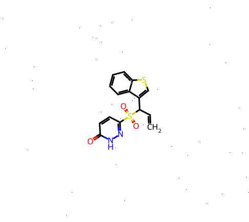 C=CC(c1csc2ccccc12)S(=O)(=O)c1ccc(=O)[nH]n1